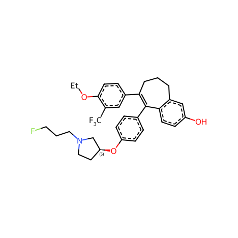 CCOc1ccc(C2=C(c3ccc(O[C@H]4CCN(CCCF)C4)cc3)c3ccc(O)cc3CCC2)cc1C(F)(F)F